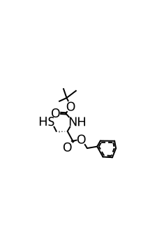 CC(C)(C)OC(=O)N[C@@H](CS)C(=O)OCc1ccccc1